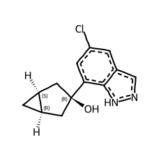 O[C@@]1(c2cc(Cl)cc3cn[nH]c23)C[C@H]2C[C@H]2C1